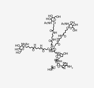 CC(=O)NC1C(OCCCCC(=O)NCCCNC(=O)CCOCC(COCCC(=O)NCCCNC(=O)CCCCOC2OC(CO)C(O)C(O)C2NC(C)=O)(COCCC(=O)NCCCNC(=O)CCCCOC2OC(CO)C(O)C(O)C2NC(C)=O)NC(=O)CNC(=O)N2C[C@H](O)C[C@H]2COP(=O)(O)O[C@H]2C[C@H](n3cnc4c(N)ncnc43)O[C@@H]2COP(C)(=O)O)OC(CO)C(O)C1O